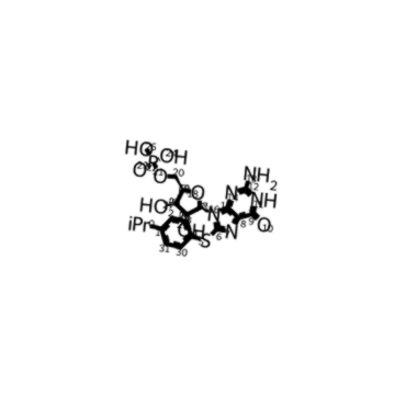 CC(C)c1ccc(Sc2nc3c(=O)[nH]c(N)nc3n2[C@@H]2O[C@H](COP(=O)(O)O)[C@@H](O)[C@H]2O)cc1